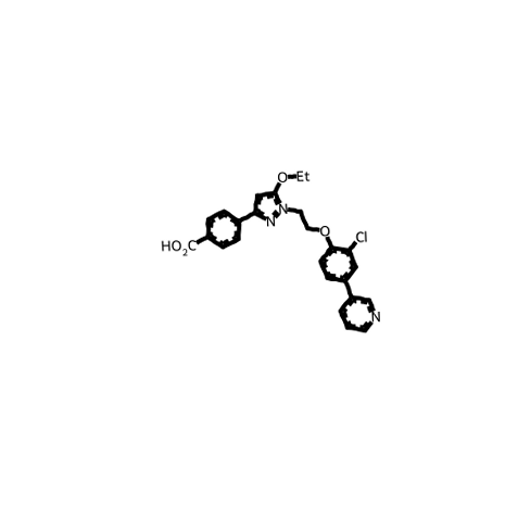 CCOc1cc(-c2ccc(C(=O)O)cc2)nn1CCOc1ccc(-c2cccnc2)cc1Cl